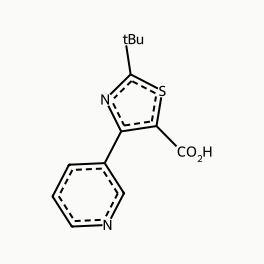 CC(C)(C)c1nc(-c2cccnc2)c(C(=O)O)s1